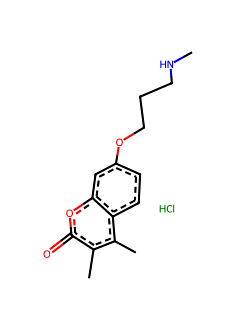 CNCCCOc1ccc2c(C)c(C)c(=O)oc2c1.Cl